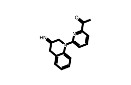 CC(=O)c1cccc(N2CC(=N)Cc3ccccc32)n1